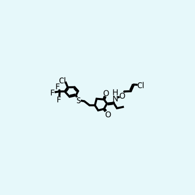 CCC(NOCC=CCl)=C1C(=O)CC(CCSc2ccc(Cl)c(C(F)(F)F)c2)CC1=O